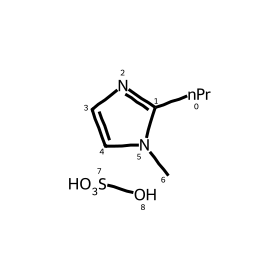 CCCc1nccn1C.O=S(=O)(O)O